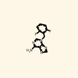 Nc1ncn(Cc2c(F)cccc2F)c2ncnc1-2